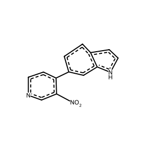 O=[N+]([O-])c1cnccc1-c1ccc2cc[nH]c2c1